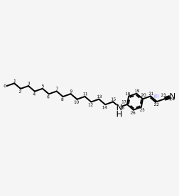 CCCCCCCCCCCCCCCCNc1ccc(/C=C/C#N)cc1